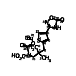 CC(C)(Cc1cc(-c2noc(=O)[nH]2)cs1)CN(C(=O)O)C(=O)OC(C)(C)C